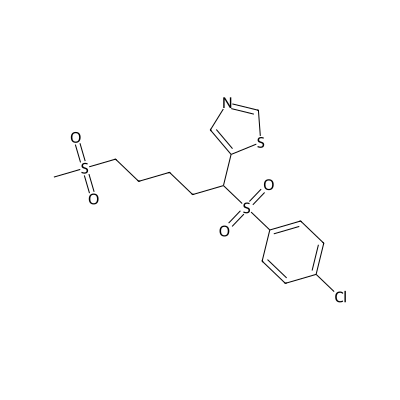 CS(=O)(=O)CCCCC(c1cncs1)S(=O)(=O)c1ccc(Cl)cc1